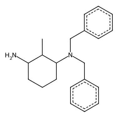 CC1C(N)CCCC1N(Cc1ccccc1)Cc1ccccc1